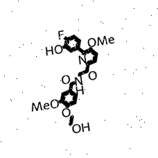 COc1cc(C(=O)NCC(=O)c2ccc(OC)c(-c3ccc(F)c(O)c3)n2)ccc1OCCO